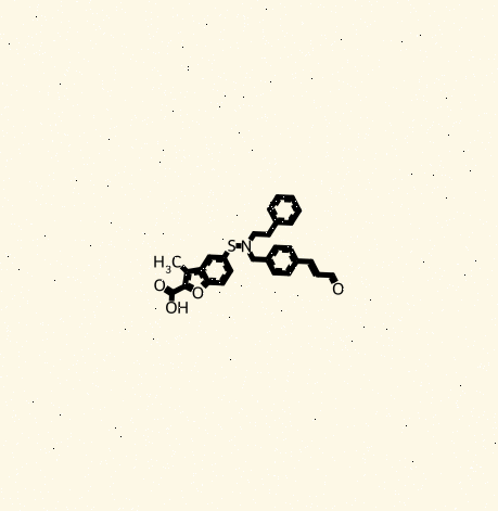 Cc1c(C(=O)O)oc2ccc(SN(CCc3ccccc3)Cc3ccc(/C=C/C=O)cc3)cc12